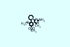 COc1cc(S(C)(=O)=O)ccc1C1CCCCCN1c1cc(C)nc(N)n1